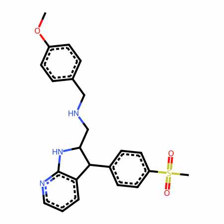 COc1ccc(CNCC2Nc3ncccc3C2c2ccc(S(C)(=O)=O)cc2)cc1